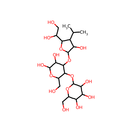 CC(C)C1C(O)C(OC2C(O)C(O)OC(CO)C2OC2OC(CO)C(O)C(O)C2O)OC1C(O)CO